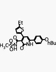 CCCCOc1ccc(-c2cc(-c3ccc(CC)s3)c(C(=O)NS(C)(=O)=O)c(=O)[nH]2)cc1